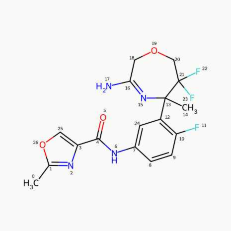 Cc1nc(C(=O)Nc2ccc(F)c(C3(C)N=C(N)COCC3(F)F)c2)co1